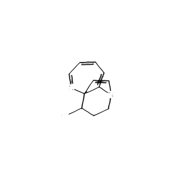 ClC1CCN2C=CC13N=CC=CC=C23